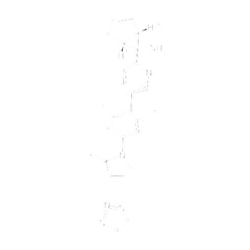 N[C@]1(c2ccc(-c3c(F)cc(N4C[C@H](Cn5ccnn5)OC4=O)cc3F)cn2)[C@@H]2CSC[C@@H]21